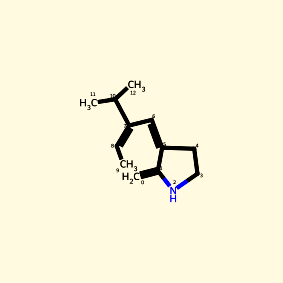 C=C1NCC/C1=C/C(=C\C)C(C)C